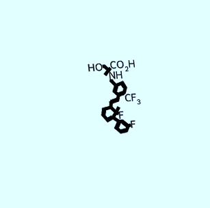 CC(CO)(NCc1ccc(C(F)(F)F)c(/C=C/C2C=CC=C(c3cccc(F)c3)C2(C)F)c1)C(=O)O